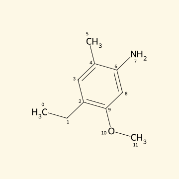 CCc1cc(C)c(N)cc1OC